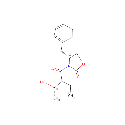 C=CC(C(=O)N1C(=O)OC[C@H]1Cc1ccccc1)[C@H](C)O